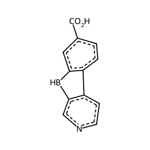 O=C(O)c1ccc2c(c1)Bc1cnccc1-2